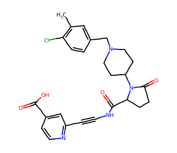 Cc1cc(CN2CCC(N3C(=O)CCC3C(=O)NC#Cc3cc(C(=O)O)ccn3)CC2)ccc1Cl